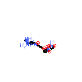 C/C(N)=N/N=C(\N)c1ccc(CNC(=O)CCCCCOc2cccc3c2C(=O)N(C2CCC(=O)NC2=O)C3=O)cc1